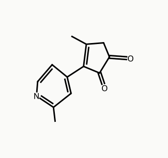 CC1=C(c2ccnc(C)c2)C(=O)C(=O)C1